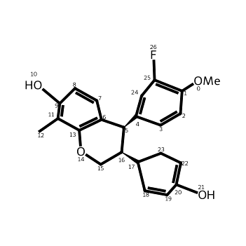 COc1ccc([C@@H]2c3ccc(O)c(C)c3OC[C@@H]2C2C=CC(O)=CC2)cc1F